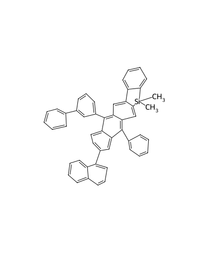 C[Si]1(C)c2ccccc2-c2cc3c(-c4cccc(-c5ccccc5)c4)c4ccc(-c5cccc6ccccc56)cc4c(-c4ccccc4)c3cc21